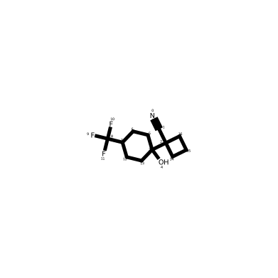 N#CC1(C2(O)CCC(C(F)(F)F)CC2)CCC1